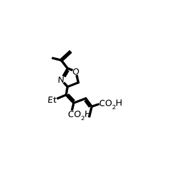 C=C(C)C1=NC(C(CC)=C(C=C(C)C(=O)O)C(=O)O)CO1